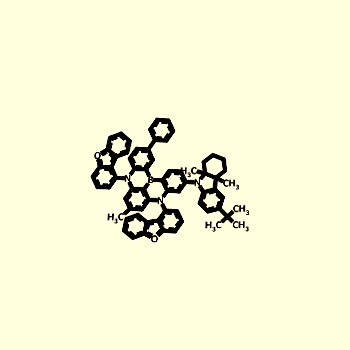 Cc1cc2c3c(c1)N(c1cccc4oc5ccccc5c14)c1cc(N4c5ccc(C(C)(C)C)cc5C5(C)CCCCC45C)ccc1B3c1cc(-c3ccccc3)ccc1N2c1cccc2oc3ccccc3c12